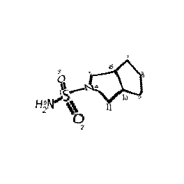 NS(=O)(=O)N1CC2CCCC2C1